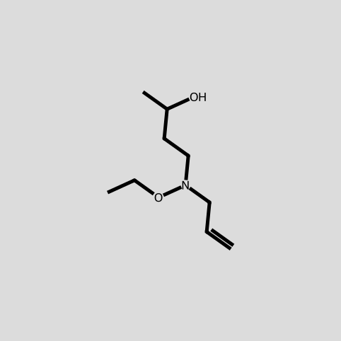 C=CCN(CCC(C)O)OCC